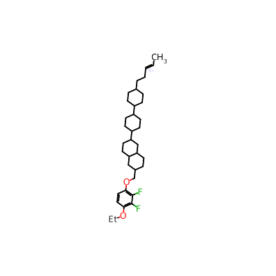 C/C=C/CCC1CCC(C2CCC(C3CCC4CC(COc5ccc(OCC)c(F)c5F)CCC4C3)CC2)CC1